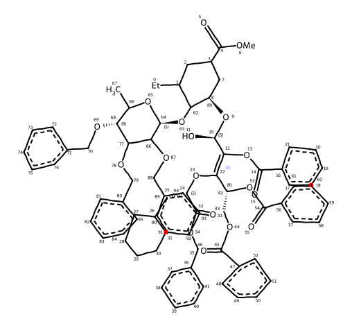 CCC1CC(C(=O)OC)C[C@@H](O[C@H](O)/C(OC(=O)c2ccccc2)=C(\O[C@@H](CC2CCCCC2)C(=O)OCc2ccccc2)[C@@H](COC(=O)c2ccccc2)OC(=O)c2ccccc2)C1O[C@@H]1OC(C)[C@@H](OCc2ccccc2)C(OCc2ccccc2)C1OCc1ccccc1